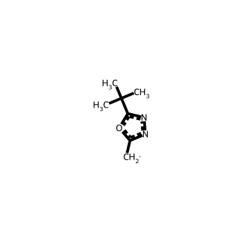 [CH2]c1nnc(C(C)(C)C)o1